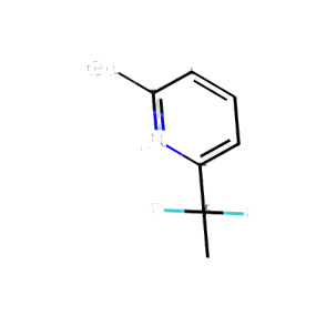 CC(C)(C)c1cccc(C(C)(F)F)n1